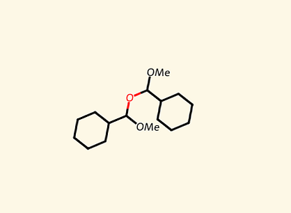 COC(OC(OC)C1CCCCC1)C1CCCCC1